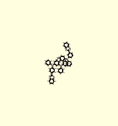 C1=CCC(N(c2cccc(-c3nc4ccccc4o3)c2)c2ccc3sc4cc(N(c5ccccc5)c5ccc(-c6nc7ccccc7s6)cc5)cc(N(c5ccccc5)c5ccccc5)c4c3c2)C=C1